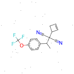 CC(c1ccc(OC(F)(F)F)cc1)C(C#N)(C#N)C1C=CC1